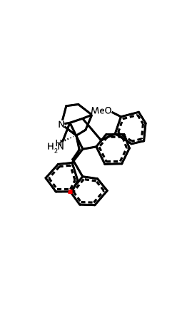 COc1ccccc1CC1C2CCN([C@H](CCc3ccccc3)C2)C1(N)C(c1ccccc1)c1ccccc1